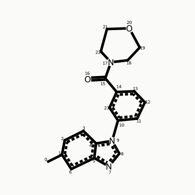 Cc1ccc2c(c1)ncn2-c1cccc(C(=O)N2CCOCC2)c1